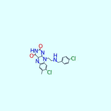 Cc1cc2nc3c(=O)[nH]c(=O)nc-3n(CCNCc3ccc(Cl)cc3)c2cc1Cl